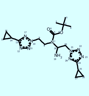 CC(C)(C)OC(=O)N(CCn1nnc(C2CC2)n1)C(N)Cn1nnc(C2CC2)n1